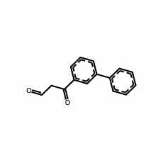 O=CCC(=O)c1cccc(-c2ccccc2)c1